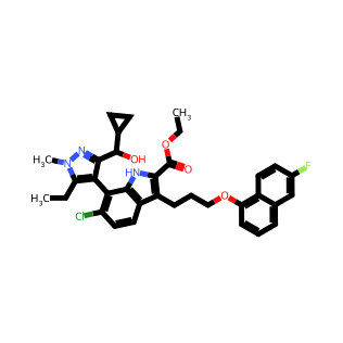 CCOC(=O)c1[nH]c2c(-c3c(C(O)C4CC4)nn(C)c3CC)c(Cl)ccc2c1CCCOc1cccc2cc(F)ccc12